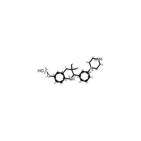 CC1(C)Cc2cc(OC(=O)O)ccc2NC1c1cccc(N2CCNCC2)c1